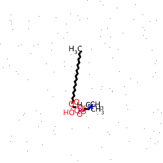 CCCCCCCCCCCCCCCCCCCC(=O)O[C@@H](CO)COP(=O)([O-])OCC[N+](C)(C)C